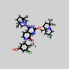 [2H]C1([2H])CC[C@@]2(COc3nc(N4C[C@H]5CC[C@@H](C4)N5)c4ccn(-c5cc(O)cc(Cl)c5C(F)(F)F)c(=O)c4n3)C[C@@H](F)CN12